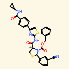 N#Cc1cccc(C2SC[C@@H](C(=O)Nc3nc(-c4ccc(C(=O)NC5CC5)cc4)cs3)N2C(=O)OCc2ccccc2)c1